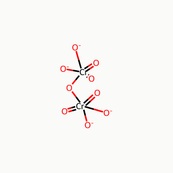 [O]=[Cr](=[O])([O-])([O-])[O][Cr](=[O])(=[O])([O-])[O-]